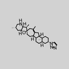 CC1=C2C[C@H]3C(CC[C@@H]4C[C@@H](n5ccnn5)CC[C@@]43C)[C@@H]2CC[C@@]2(C1)O[C@@H]1C[C@H](C)CN[C@H]1[C@H]2C